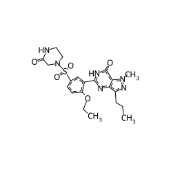 CCCc1nn(C)c2c(=O)[nH]c(-c3cc(S(=O)(=O)N4CCNC(=O)C4)ccc3OCC)nc12